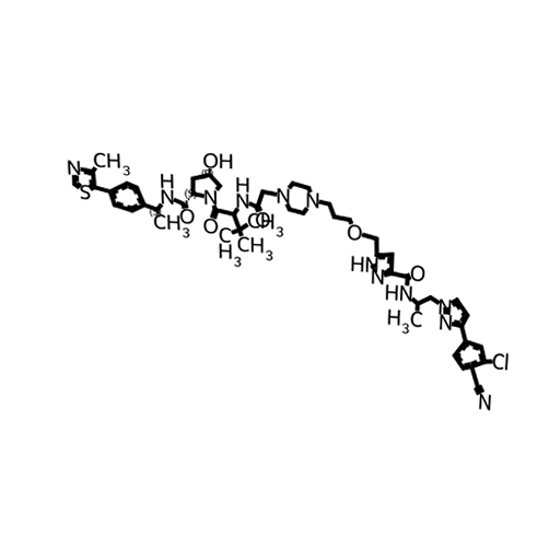 Cc1ncsc1-c1ccc([C@H](C)NC(=O)[C@@H]2C[C@@H](O)CN2C(=O)C(NC(=O)CN2CCN(CCCOCc3cc(C(=O)NC(C)Cn4ccc(-c5ccc(C#N)c(Cl)c5)n4)n[nH]3)CC2)C(C)(C)C)cc1